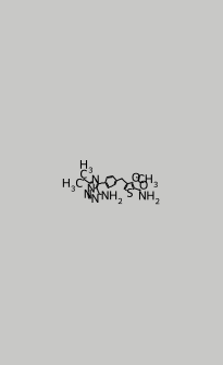 COc1c(Cc2ccc(-c3nc(C(C)C)n4ncnc(N)c34)cc2)csc1C(N)=O